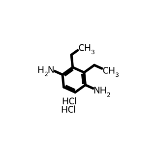 CCc1c(N)ccc(N)c1CC.Cl.Cl